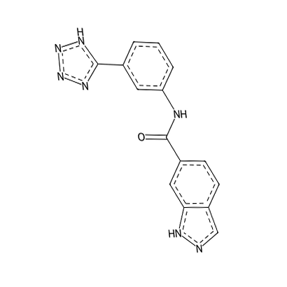 O=C(Nc1cccc(-c2nnn[nH]2)c1)c1ccc2cn[nH]c2c1